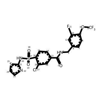 O=C(NCc1ccc(OC(F)(F)F)c(F)c1)c1ccc(S(=O)(=O)Nc2nccs2)c(Cl)c1